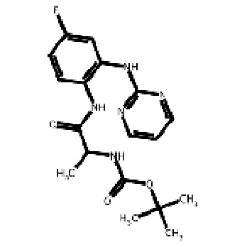 CC(NC(=O)OC(C)(C)C)C(=O)Nc1ccc(F)cc1Nc1ncccn1